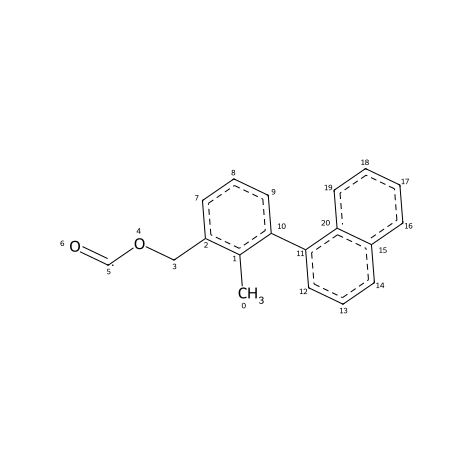 Cc1c(CO[C]=O)cccc1-c1cccc2ccccc12